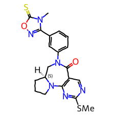 CSc1ncc2c(n1)N1CCC[C@H]1CN(c1cccc(-c3noc(=S)n3C)c1)C2=O